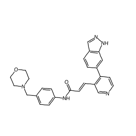 O=C(/C=C/c1cnccc1-c1ccc2cn[nH]c2c1)Nc1ccc(CN2CCOCC2)cc1